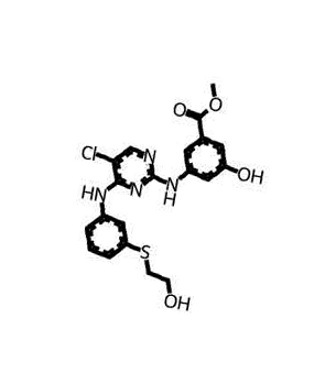 COC(=O)c1cc(O)cc(Nc2ncc(Cl)c(Nc3cccc(SCCO)c3)n2)c1